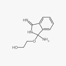 N=C1NC(N)(OCCO)c2ccccc21